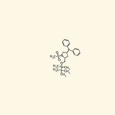 CC(C)(C)[Si](C)(C)OC[C@@H]1C[C@H](P(c2ccccc2)c2ccccc2)CN1S(C)(=O)=O